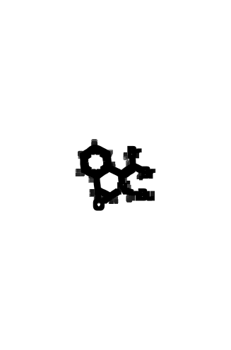 CCCCN1C(=C(Br)Br)c2ccccc2C2OC21